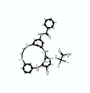 O=C(Nc1cc2cc(c1)OCCSc1cccc(c1)Nc1nc(ncc1Cl)N2)c1ccccc1.O=C(O)C(F)(F)F